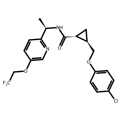 C[C@@H](NC(=O)[C@@H]1C[C@H]1COc1ccc(Cl)cc1)c1ccc(OCC(F)(F)F)cn1